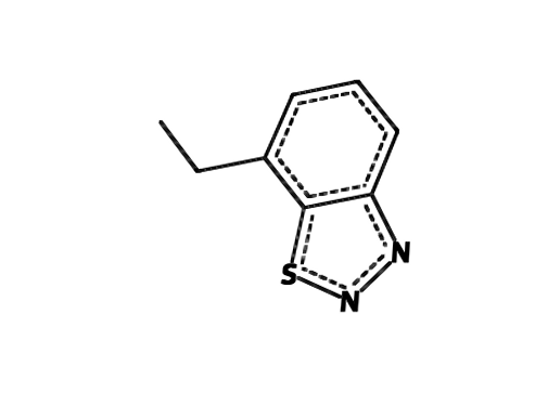 CCc1cccc2nnsc12